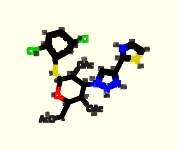 CC(=O)OCC1OC(Sc2cc(Cl)ccc2Cl)C(OC(C)=O)C(n2cc(-c3nccs3)nn2)C1OC(C)=O